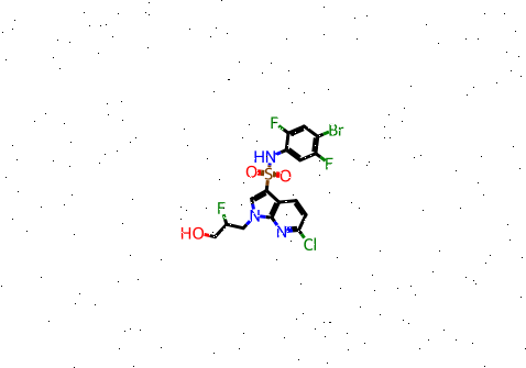 O=S(=O)(Nc1cc(F)c(Br)cc1F)c1cn(CC(F)CO)c2nc(Cl)ccc12